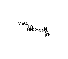 COC1CCC(CC(=O)NC2CCC(CCN3CCN(c4noc5cc(F)c(F)cc45)CC3)CC2)CC1